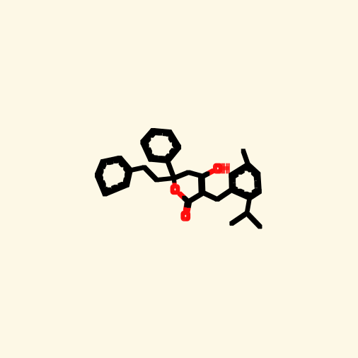 Cc1ccc(C(C)C)c(CC2=C(O)CC(CCc3ccccc3)(c3ccccc3)OC2=O)c1